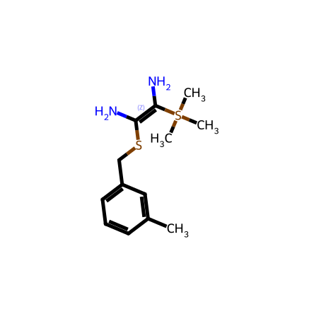 Cc1cccc(CS/C(N)=C(/N)S(C)(C)C)c1